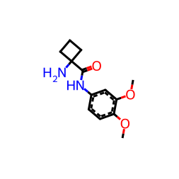 COc1ccc(NC(=O)C2(N)CCC2)cc1OC